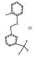 C[n+]1ccccc1SCc1cccc(C(F)(F)F)c1.[Cl-]